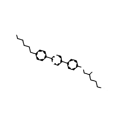 CCCCCCc1ccc(-c2ncc(-c3ccc(OCC(F)CCCC)cc3)cn2)cc1